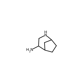 NC1CNC2CCC1C2